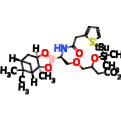 CC1(C)[C@@H]2C[C@H]3OB([C@H](COCC(CC(=O)O)O[Si](C)(C)C(C)(C)C)NC(=O)Cc4cccs4)O[C@@]3(C)[C@H]1C2